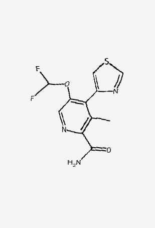 Cc1c(C(N)=O)ncc(OC(F)F)c1-c1cscn1